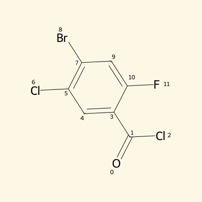 O=C(Cl)c1cc(Cl)c(Br)cc1F